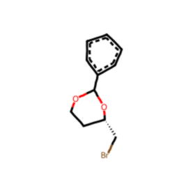 BrC[C@@H]1CCOC(c2ccccc2)O1